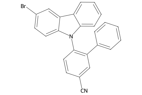 N#Cc1ccc(-n2c3ccccc3c3cc(Br)ccc32)c(-c2ccccc2)c1